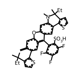 C=c1cc2c(cc1-c1sccc1C(C)(C)CC)=C(c1c(F)c(F)cc(F)c1S(=O)(=O)O)c1cc3c(cc1O2)N(C)C(C)(CC)c1ccsc1-3